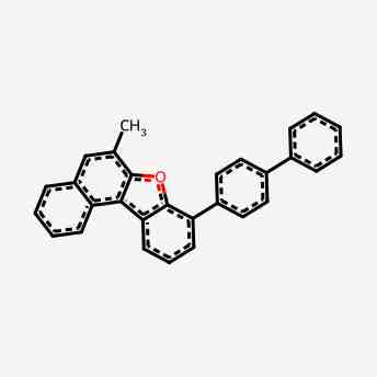 Cc1cc2ccccc2c2c1oc1c(-c3ccc(-c4ccccc4)cc3)cccc12